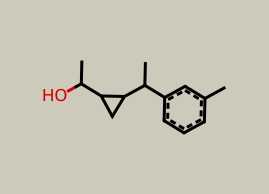 Cc1cccc(C(C)C2CC2C(C)O)c1